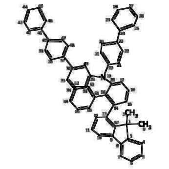 CC1(C)c2ccccc2-c2cccc(-c3cccc(N(c4ccc(-c5ccccc5)cc4)c4cccc(-c5ccc(-c6ccccc6)cc5)c4)c3-c3ccccc3)c21